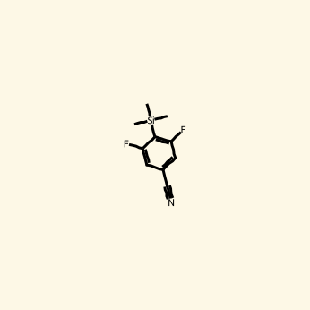 C[Si](C)(C)c1c(F)cc(C#N)cc1F